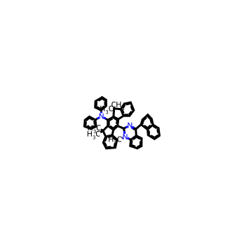 CN1c2ccccc2C(c2cccc3ccccc23)=NC1c1c2c(c(N(c3ccccc3)c3ccccc3)c3c1-c1ccccc1C3(C)C)C(C)(C)c1ccccc1-2